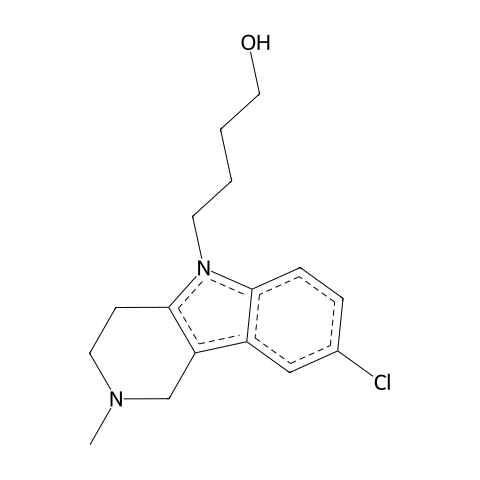 CN1CCc2c(c3cc(Cl)ccc3n2CCCCO)C1